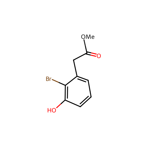 COC(=O)Cc1cccc(O)c1Br